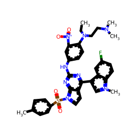 CCN(CCN(C)C)c1ccc(Nc2nc(-c3cn(C)c4ccc(F)cc34)c3ccn(S(=O)(=O)c4ccc(C)cc4)c3n2)cc1[N+](=O)[O-]